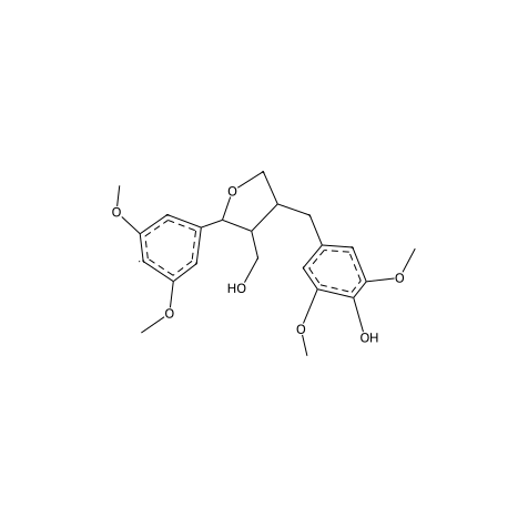 COc1[c]c(OC)cc(C2OCC(Cc3cc(OC)c(O)c(OC)c3)C2CO)c1